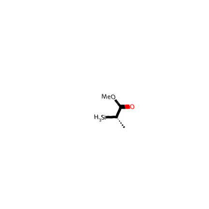 COC(=O)[C@H](C)[SiH3]